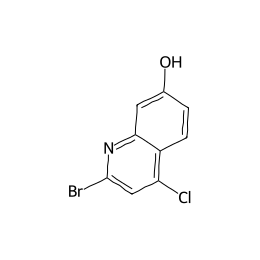 Oc1ccc2c(Cl)cc(Br)nc2c1